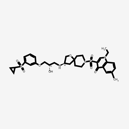 CCn1cc(S(=O)(=O)N2CCC3(CC2)C[C@@H](NC[C@H](O)COc2cccc(S(=O)(=O)C4CC4)c2)CO3)c(=O)c2cc(C)ccc21